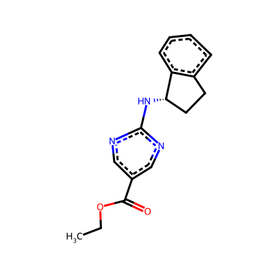 CCOC(=O)c1cnc(N[C@H]2CCc3ccccc32)nc1